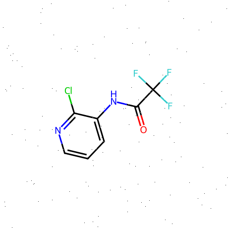 O=C(Nc1cccnc1Cl)C(F)(F)F